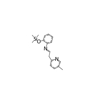 Cc1ccc(CC=Nc2ccccc2O[Si](C)(C)C)nc1